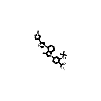 Cc1cn(-c2ccc(C(N)=O)c(NC(C)(C)C)c2)c2cccc(-n3cnc(-c4cnn(C)c4)c3)c12